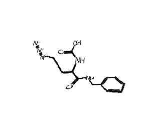 [N-]=[N+]=NCCC(NC(=O)O)C(=O)NCc1ccccc1